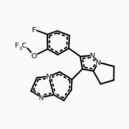 Fc1ccc(-c2nn3c(c2-c2ccc4nccn4c2)CCC3)cc1OC(F)(F)F